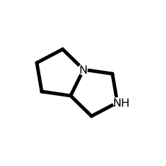 C1CC2CNCN2C1